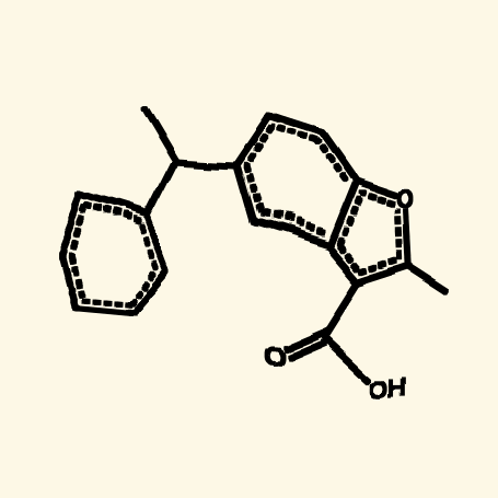 Cc1oc2ccc(C(C)c3ccccc3)cc2c1C(=O)O